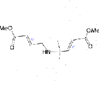 COC(=O)/C=C/CNC(C)(C)/C=C/C(=O)OC